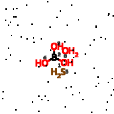 O.OB(O)O.S